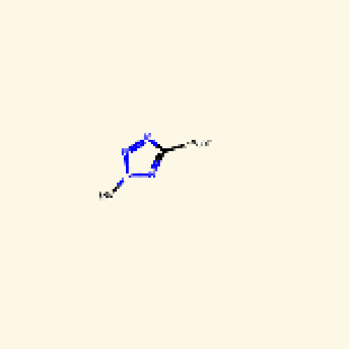 CCCCCc1nnn(C(C)(C)C)n1